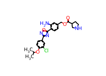 CC(C)Oc1ccc(-c2noc(-c3ccc(COC(=O)C4CCNC4)cc3N)n2)cc1Cl